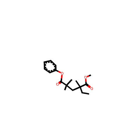 CCC(C)(CC(C)(C)C(=O)Oc1ccccc1)C(=O)OC